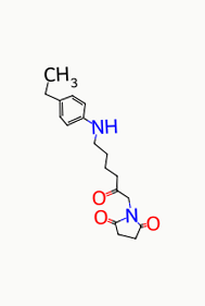 CCc1ccc(NCCCCC(=O)CN2C(=O)CCC2=O)cc1